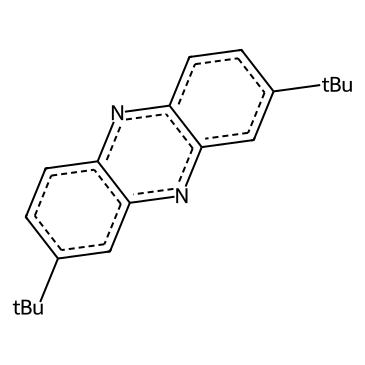 CC(C)(C)c1ccc2nc3ccc(C(C)(C)C)cc3nc2c1